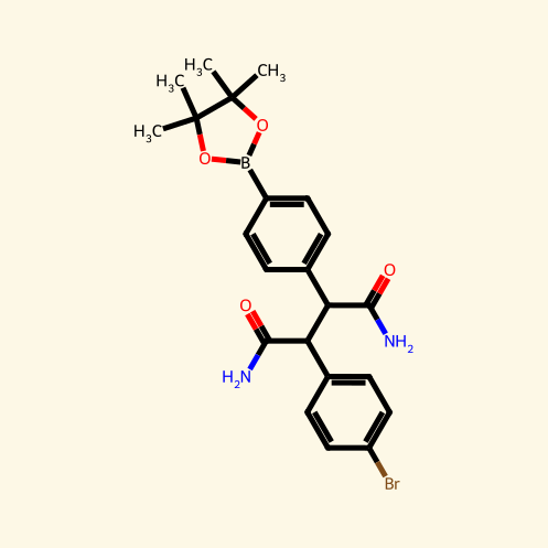 CC1(C)OB(c2ccc(C(C(N)=O)C(C(N)=O)c3ccc(Br)cc3)cc2)OC1(C)C